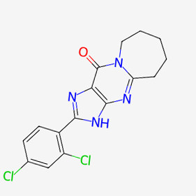 O=c1c2nc(-c3ccc(Cl)cc3Cl)[nH]c2nc2n1CCCCC2